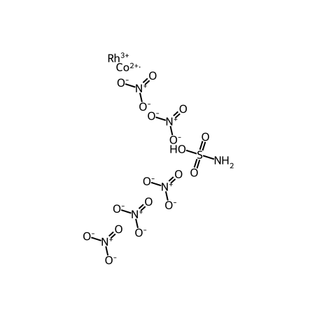 NS(=O)(=O)O.O=[N+]([O-])[O-].O=[N+]([O-])[O-].O=[N+]([O-])[O-].O=[N+]([O-])[O-].O=[N+]([O-])[O-].[Co+2].[Rh+3]